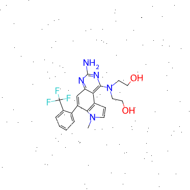 Cn1ccc2c3c(N(CCO)CCO)nc(N)nc3cc(-c3ccccc3C(F)(F)F)c21